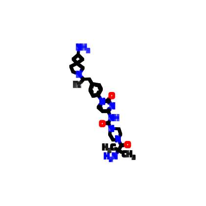 CCC(Cc1ccc(-n2ccc(NC(=O)N3CCN(C(=O)C(C)(C)N)CC3)nc2=O)cc1)N1CCC2(CC(N)C2)C1